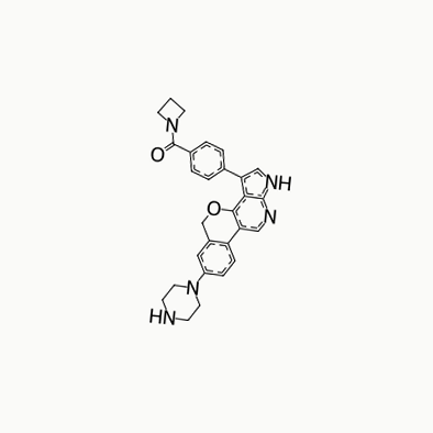 O=C(c1ccc(-c2c[nH]c3ncc4c(c23)OCc2cc(N3CCNCC3)ccc2-4)cc1)N1CCC1